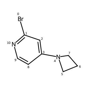 Brc1cc(N2CCC2)ccn1